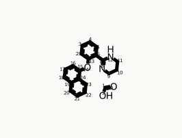 O=CO.c1ccc(C2=NCCCN2)c(Oc2cccc3ccccc23)c1